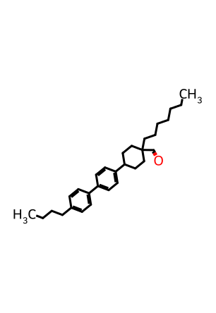 CCCCCCCC1(C=O)CCC(c2ccc(-c3ccc(CCCC)cc3)cc2)CC1